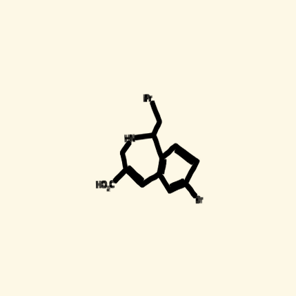 CC(C)CC1NCC(C(=O)O)=Cc2cc(Br)ccc21